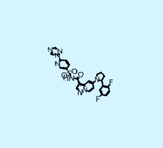 O=C(NS(=O)(=O)c1ccc(-n2cncn2)nc1)c1cnn2ccc(N3CCCC3c3cc(F)ccc3F)cc12